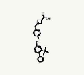 O=C(O)C1CN(Cc2ccc(OCc3ccc(C4CCCC4)c(C(F)(F)F)c3)cc2)C1